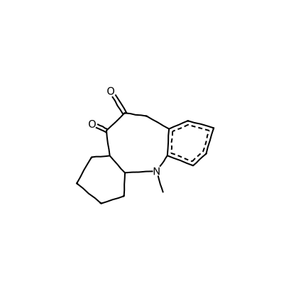 CN1c2ccccc2CC(=O)C(=O)C2CCCCC21